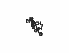 CCN(CC)c1ccc2c(C)c(CCNC(=O)CCc3ccccc3)c(=O)oc2c1